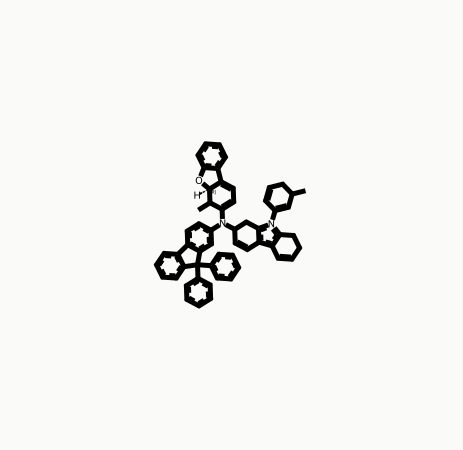 CC1C=C(n2c3c(c4c2CC(N(C2=CC=C5c6ccccc6O[C@@H]5C2C)c2ccc5c(c2)C(c2ccccc2)(c2ccccc2)c2ccccc2-5)C=C4)C=CCC3)C=CC1